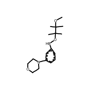 COC(C)(C)C(C)(C)OBc1cccc(N2CCOCC2)c1